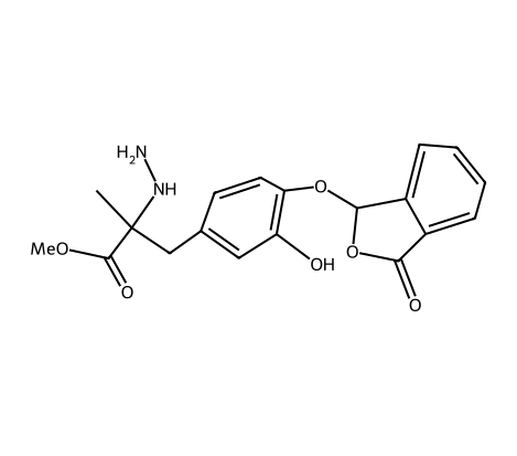 COC(=O)C(C)(Cc1ccc(OC2OC(=O)c3ccccc32)c(O)c1)NN